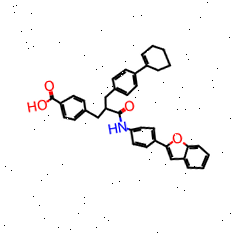 O=C(O)c1ccc(CC(Cc2ccc(C3=CCCCC3)cc2)C(=O)Nc2ccc(-c3cc4ccccc4o3)cc2)cc1